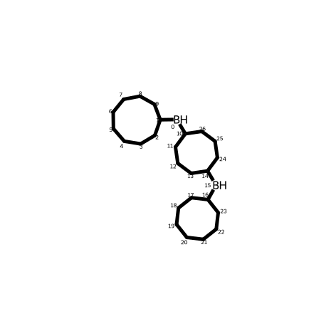 B(C1CCCCCCCC1)C1CCCC(BC2CCCCCCC2)CCC1